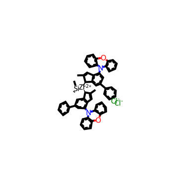 CC1=Cc2c(cc(-c3ccccc3)cc2N2c3ccccc3Oc3ccccc32)[C@@H]1[Zr+2]([C@H]1C(C)=Cc2c1cc(-c1ccccc1)cc2N1c2ccccc2Oc2ccccc21)=[Si](C)C.[Cl-].[Cl-]